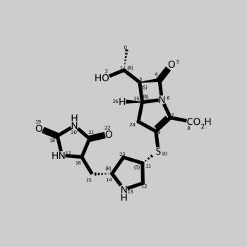 C[C@@H](O)[C@H]1C(=O)N2C(C(=O)O)=C(S[C@@H]3CN[C@H](CC4NC(=O)NC4=O)C3)C[C@H]12